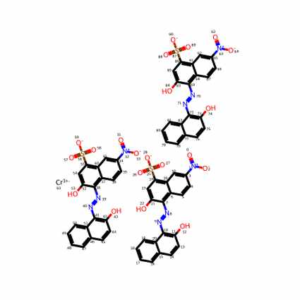 O=[N+]([O-])c1ccc2c(N=Nc3c(O)ccc4ccccc34)c(O)cc(S(=O)(=O)[O-])c2c1.O=[N+]([O-])c1ccc2c(N=Nc3c(O)ccc4ccccc34)c(O)cc(S(=O)(=O)[O-])c2c1.O=[N+]([O-])c1ccc2c(N=Nc3c(O)ccc4ccccc34)c(O)cc(S(=O)(=O)[O-])c2c1.[Cr+3]